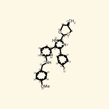 C=C1COC(c2nc(-c3ccc(F)cc3)c(-c3ccnc(NCc4ccc(OC)cc4)n3)[nH]2)OC1